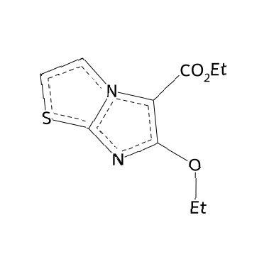 CCOC(=O)c1c(OCC)nc2sccn12